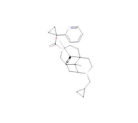 O=C(N1CCC23CCN(CC4CC4)C(Cc4ccc(O)cc42)C3(O)CC1)C1(c2ccccn2)CC1